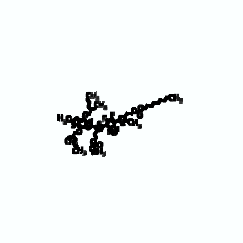 CCCCCCCCCOC(=O)OCCc1cc(-c2c(F)c(F)c(-c3cc(CCOC(=O)OC)c(-c4cc5c(OCC(CC)CCCC)c6sc(C)cc6c(OCC(CC)CCCC)c5s4)s3)c3nonc23)sc1C